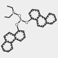 CCN(CC)OP(Oc1cccc2c1ccc1ccccc12)Oc1cccc2c1ccc1ccccc12